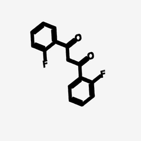 O=C(CC(=O)c1ccccc1F)c1ccccc1F